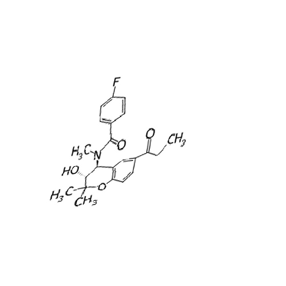 CCC(=O)c1ccc2c(c1)[C@H](N(C)C(=O)c1ccc(F)cc1)[C@@H](O)C(C)(C)O2